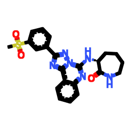 CS(=O)(=O)c1cccc(-c2nc3c4ccccc4nc(N[C@@H]4CCCCNC4=O)n3n2)c1